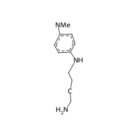 CNc1ccc(NCCCCN)cc1